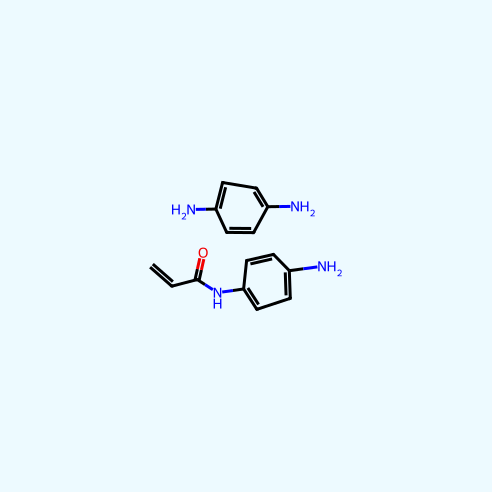 C=CC(=O)Nc1ccc(N)cc1.Nc1ccc(N)cc1